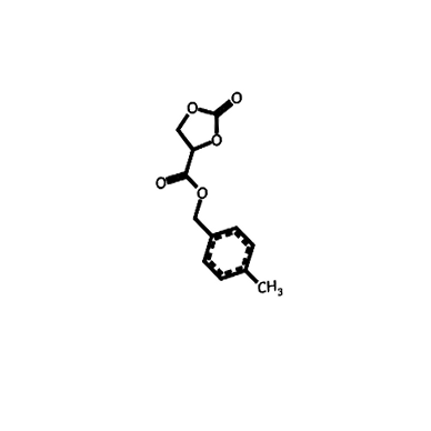 Cc1ccc(COC(=O)C2COC(=O)O2)cc1